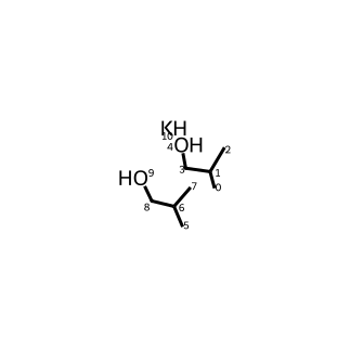 CC(C)CO.CC(C)CO.[KH]